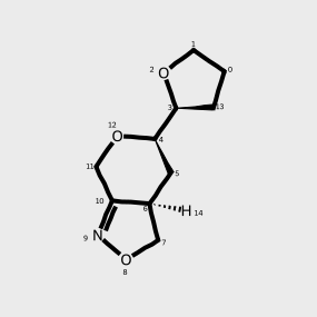 C1CO[C@H]([C@H]2C[C@H]3CON=C3CO2)C1